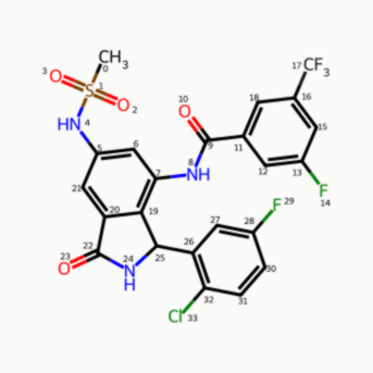 CS(=O)(=O)Nc1cc(NC(=O)c2cc(F)cc(C(F)(F)F)c2)c2c(c1)C(=O)NC2c1cc(F)ccc1Cl